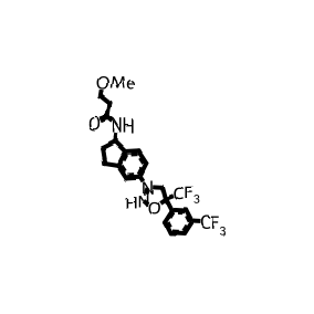 COCCC(=O)NC1CCc2cc(N3CC(c4cccc(C(F)(F)F)c4)(C(F)(F)F)ON3)ccc21